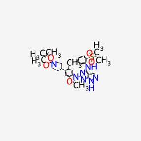 Cc1cc2c(cc1C1CCN(C(=O)OC(C)(C)C)CC1)OC(C)N2c1nc(Nc2ccccc2S(=O)(=O)C(C)C)c2cn[nH]c2n1